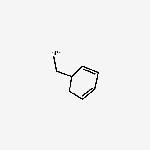 CCCCC1C=CC=CC1